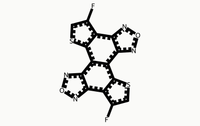 Fc1csc2c1c1nonc1c1c3scc(F)c3c3nonc3c21